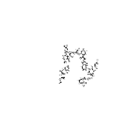 CCOC(=O)CN1CCC2(CC[C@@H](COc3cccc(-c4ccc(N5CCc6cccc(C(=O)Nc7nc8ccccc8s7)c6C5)nc4C(=O)OC(C)(C)C)c3C)C2)CC1.CCOC(=O)CN1CCC2(CC[C@@H](COc3cccc(Br)c3C)C2)CC1